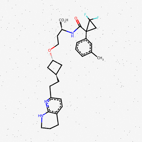 Cc1cccc(C2(C(=O)N[C@@H](CCO[C@H]3C[C@H](CCc4ccc5c(n4)NCCC5)C3)C(=O)O)CC2(F)F)c1